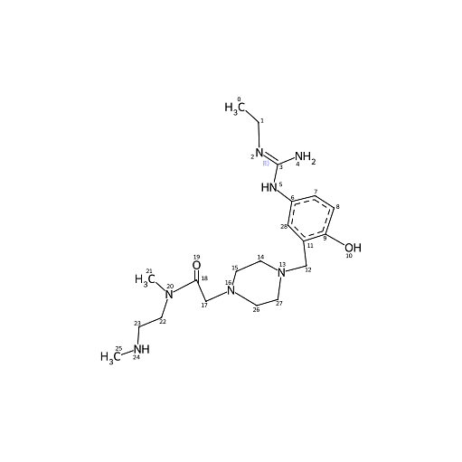 CC/N=C(\N)Nc1ccc(O)c(CN2CCN(CC(=O)N(C)CCNC)CC2)c1